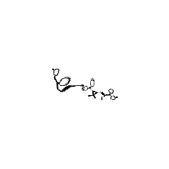 COCc1ccc(COC(=O)[C@@H]2[C@H](/C=C(\F)C(=O)OC)C2(C)C)o1